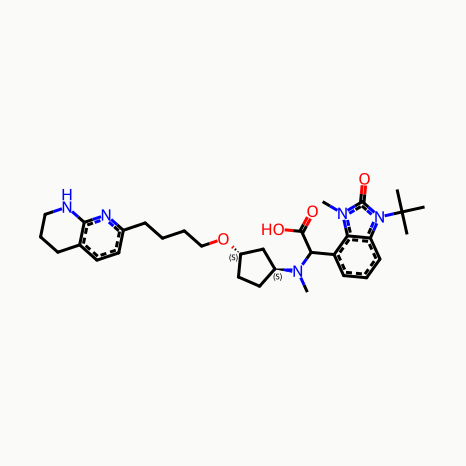 CN(C(C(=O)O)c1cccc2c1n(C)c(=O)n2C(C)(C)C)[C@H]1CC[C@H](OCCCCc2ccc3c(n2)NCCC3)C1